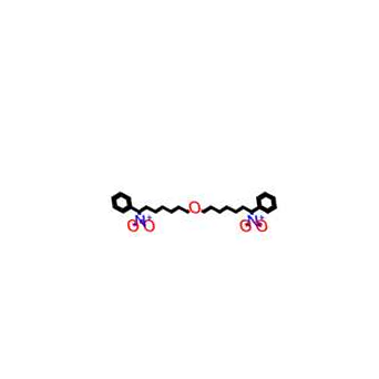 O=[N+]([O-])C(CCCCCCOCCCCCCC(c1ccccc1)[N+](=O)[O-])c1ccccc1